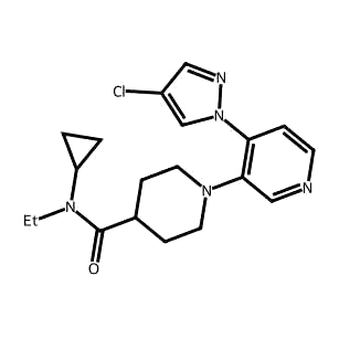 CCN(C(=O)C1CCN(c2cnccc2-n2cc(Cl)cn2)CC1)C1CC1